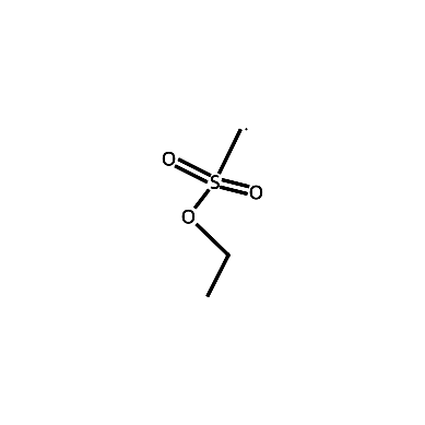 [CH2]S(=O)(=O)OCC